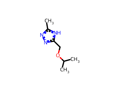 Cc1nnc(COC(C)C)[nH]1